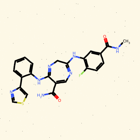 CNC(=O)c1ccc(F)c(NC2=NC=C(C(N)=O)C(Nc3ccccc3-c3cscn3)=NC2)c1